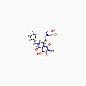 CC(C)n1c(=O)c(O)c2n(c1=O)C(CCN(C)CS(=O)O)CN(Cc1ccc(F)cc1)C2=O